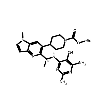 C[C@H](Nc1nc(N)nc(N)c1C#N)c1nc2ccn(C)c2cc1C1CCN(C(=O)OC(C)(C)C)CC1